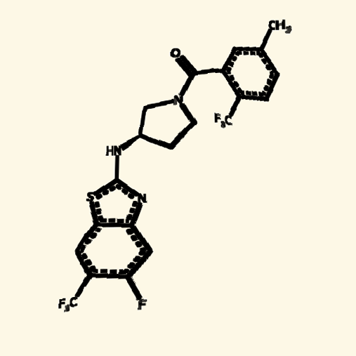 Cc1ccc(C(F)(F)F)c(C(=O)N2CC[C@@H](Nc3nc4cc(F)c(C(F)(F)F)cc4s3)C2)c1